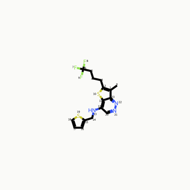 Cc1c(CCCC(F)(F)F)sc2c(NCc3cccs3)cnnc12